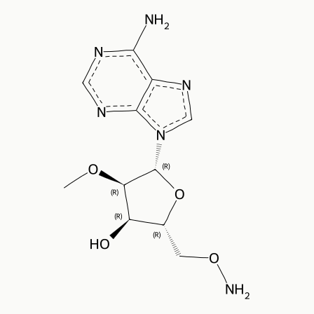 CO[C@@H]1[C@H](O)[C@@H](CON)O[C@H]1n1cnc2c(N)ncnc21